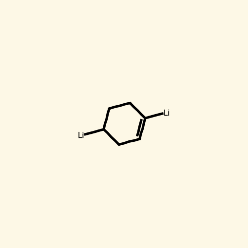 [Li][C]1=CC[CH]([Li])CC1